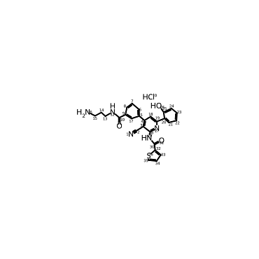 Cl.N#Cc1c(-c2cccc(C(=O)NCCCN)c2)cc(-c2ccccc2O)nc1NC(=O)c1cccs1